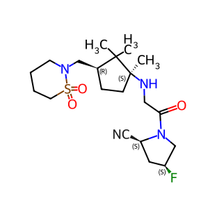 CC1(C)[C@H](CN2CCCCS2(=O)=O)CC[C@]1(C)NCC(=O)N1C[C@@H](F)C[C@H]1C#N